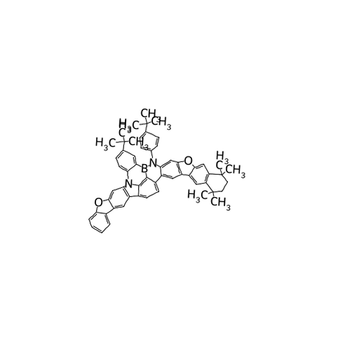 CC(C)(C)c1ccc(N2B3c4cc(C(C)(C)C)ccc4-n4c5cc6oc7ccccc7c6cc5c5ccc(c3c54)-c3cc4c(cc32)oc2cc3c(cc24)C(C)(C)CCC3(C)C)cc1